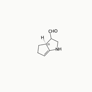 O=CC1CNC2=CCC[C@H]21